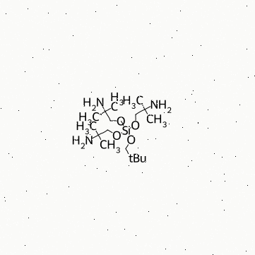 CC(C)(C)CO[Si](OCC(C)(C)N)(OCC(C)(C)N)OCC(C)(C)N